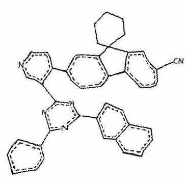 N#Cc1ccc2c(c1)C1(CCCCC1)c1cc(-c3ccncc3-c3nc(-c4ccccc4)nc(-c4ccc5ccccc5c4)n3)ccc1-2